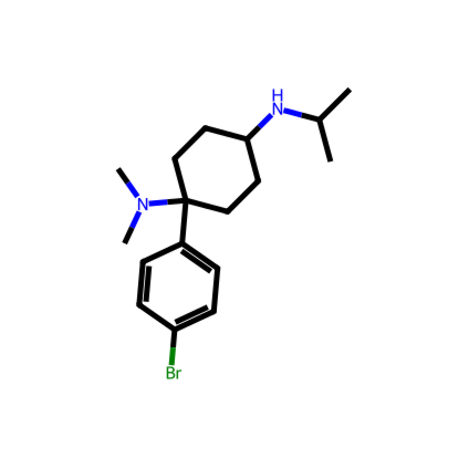 CC(C)NC1CCC(c2ccc(Br)cc2)(N(C)C)CC1